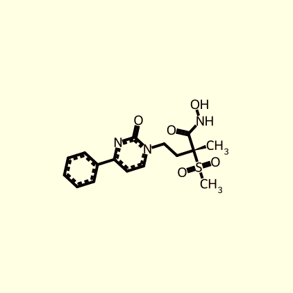 C[C@@](CCn1ccc(-c2ccccc2)nc1=O)(C(=O)NO)S(C)(=O)=O